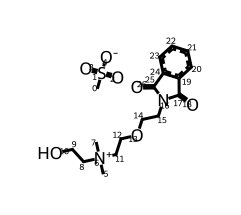 CS(=O)(=O)[O-].C[N+](C)(CCO)CCOCCN1C(=O)c2ccccc2C1=O